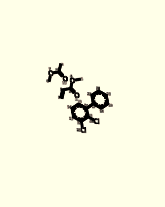 C=CC(=O)OC.COC(C)=O.Clc1cccc(-c2ccccc2)c1Cl